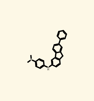 CN(C)c1ccc(Nc2ccc3c(c2)-c2ccc(-c4ccccc4)cc2C3)cc1